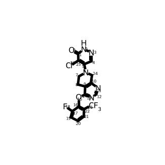 O=c1[nH]ncc(N2CCc3c(ncnc3Oc3c(F)cccc3C(F)(F)F)C2)c1Cl